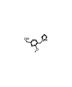 COc1cc(CO)ccc1Cn1cccn1